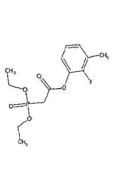 CCOP(=O)(CC(=O)Oc1cccc(C)c1F)OCC